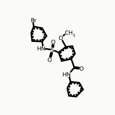 COc1ccc(C(=O)Nc2ccccc2)cc1S(=O)(=O)Nc1ccc(Br)cc1